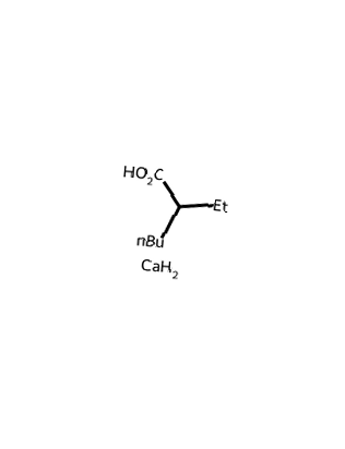 CCCCC(CC)C(=O)O.[CaH2]